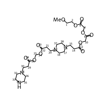 COCCOC(=O)COC(=O)COC(=O)CCN1CCN(CCC(=O)OCOC(=O)CCN2CCNCC2)CC1